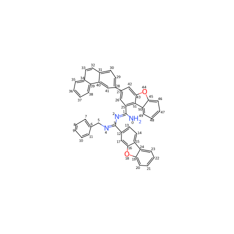 N/C(=N\C(=N/Cc1ccccc1)c1ccc2c(c1)oc1ccccc12)c1cc(-c2ccc3ccc4ccccc4c3c2)cc2oc3ccccc3c12